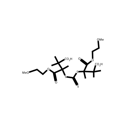 COCCOC(=O)C(C)(SC(=S)SC(C)(C(=O)OCCOC)C(C)(C)C(=O)O)C(C)(C)C(=O)O